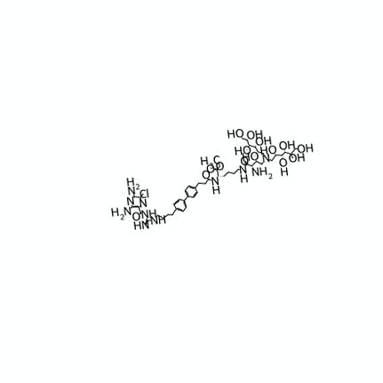 COC(=O)[C@H](CCCCNC(=O)[C@@H](N)CCN(C[C@H](O)[C@@H](O)[C@H](O)[C@H](O)CO)C[C@H](O)[C@@H](O)[C@H](O)[C@H](O)CO)NC(=O)CCc1ccc(-c2ccc(CCCCNC(=N)NC(=O)c3nc(Cl)c(N)nc3N)cc2)cc1